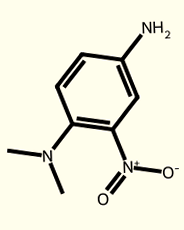 CN(C)c1ccc(N)cc1[N+](=O)[O-]